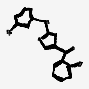 O=C(c1cnc(Nc2cccc(C(F)(F)F)c2)s1)c1ccccc1Cl